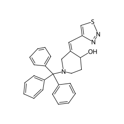 OC1CCN(C(c2ccccc2)(c2ccccc2)c2ccccc2)C/C1=C/c1csnn1